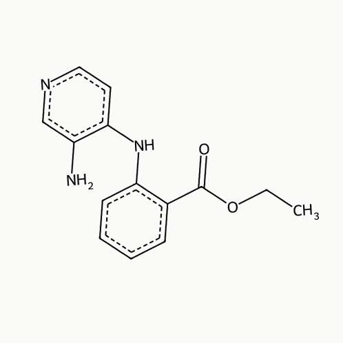 CCOC(=O)c1ccccc1Nc1ccncc1N